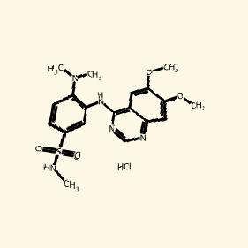 CNS(=O)(=O)c1ccc(N(C)C)c(Nc2ncnc3cc(OC)c(OC)cc23)c1.Cl